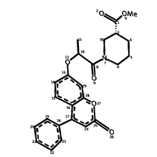 COC(=O)[C@@H]1CCCN(C(=O)C(C)Oc2ccc3c(-c4ccccc4)cc(=O)oc3c2)C1